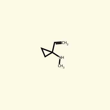 C=CC1(NC)CC1